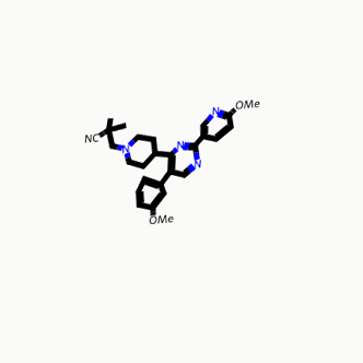 COc1cccc(-c2cnc(-c3ccc(OC)nc3)nc2C2CCN(CC(C)(C)C#N)CC2)c1